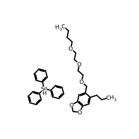 CCCCOCCOCCOCc1cc2c(cc1CCC)OCO2.c1cc[c]([SnH]([c]2ccccc2)[c]2ccccc2)cc1